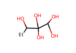 CCC(O)C(O)(O)[C](O)O